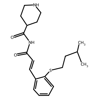 CC(C)CCSc1ccccc1/C=C/C(=O)NC(=O)C1CCNCC1